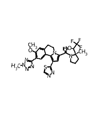 COc1cc2c(cc1-c1nnn(C)n1)-c1c(-c3nncs3)cc(C(=O)N3CCC[C@@]3(C)[C@@H](O)C(F)(F)F)n1CC2